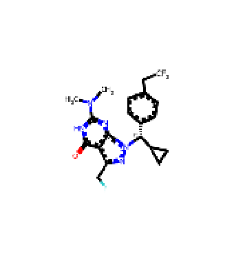 CN(C)c1nc2c(c(CF)nn2[C@H](c2ccc(CC(F)(F)F)cc2)C2CC2)c(=O)[nH]1